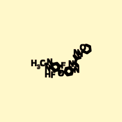 Cc1nc2cc(F)c(Oc3ccc4ncc(-c5cnn(C6CCCCO6)c5)nc4c3)c(F)c2[nH]1